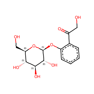 O=C(CO)c1ccccc1O[C@@H]1O[C@H](CO)[C@@H](O)[C@H](O)[C@H]1O